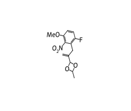 C=C(Cc1c(F)ccc(OC)c1[N+](=O)[O-])C1OC(C)O1